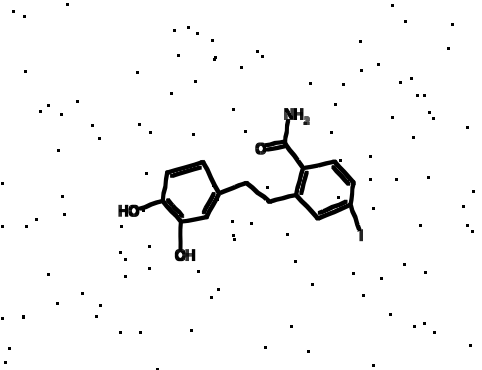 NC(=O)c1ccc(I)cc1CCc1ccc(O)c(O)c1